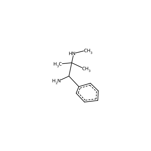 CNC(C)(C)C(N)c1ccccc1